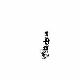 CC1CN(Cc2ccc([C@H](C)NC(=O)C3COCCN3)cc2)Cc2ccc(OCC3CC3)cc21